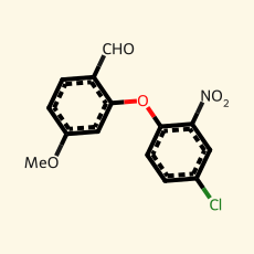 COc1ccc(C=O)c(Oc2ccc(Cl)cc2[N+](=O)[O-])c1